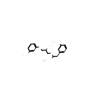 COc1cccc(CC(NCC(O)COc2cccc(C)c2)OC)c1